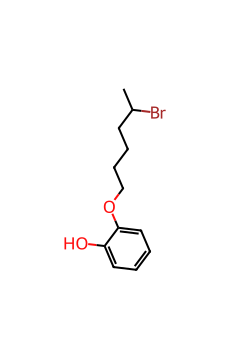 CC(Br)CCCCOc1ccccc1O